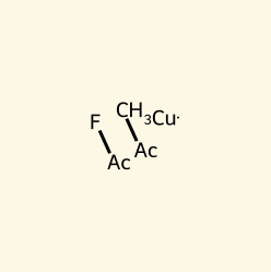 CC(=O)F.CC(C)=O.[Cu]